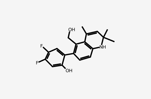 CC1=CC(C)(C)Nc2ccc(-c3cc(F)c(F)cc3O)c(CO)c21